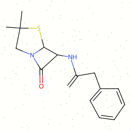 C=C(Cc1ccccc1)NC1C(=O)N2CC(C)(C)SC12